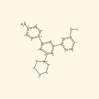 COc1cncc(-c2cc(-c3cnc(N)nc3)nc(N3CCOCC3)n2)c1